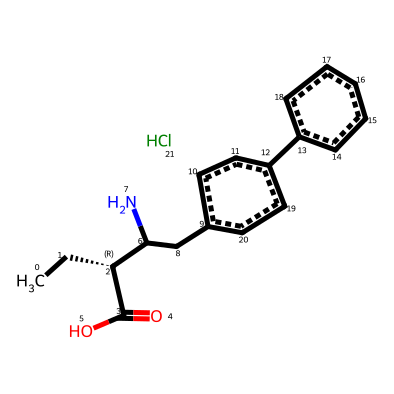 CC[C@@H](C(=O)O)C(N)Cc1ccc(-c2ccccc2)cc1.Cl